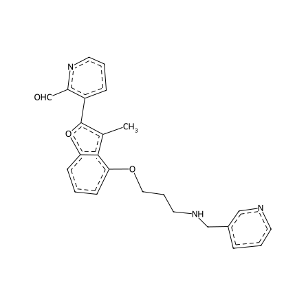 Cc1c(-c2cccnc2C=O)oc2cccc(OCCCNCc3cccnc3)c12